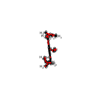 CC(C)C(=O)OCc1ccc(NC(=O)C(CCCNC(N)=O)NC(=O)[C@@H](NC(=O)CCOCCOCCOCCOCCN(CCOCCOCCOCCOCCC(=O)N[C@H](C(=O)NC(CCCNC(N)=O)C(=O)Nc2ccc(COC(=O)C(C)C)cc2)C(C)C)C(=O)CCCC(=O)ON2C(=O)CCC2=O)C(C)C)cc1